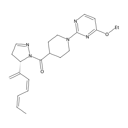 C=C(/C=C\C=C/C)[C@@H]1CC=NN1C(=O)C1CCN(c2nccc(OCC)n2)CC1